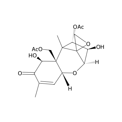 CC(=O)OC[C@]12[C@H](O)C(=O)C(C)=C[C@H]1O[C@@H]1[C@H](O)[C@@H](OC(C)=O)C2(C)C12CO2